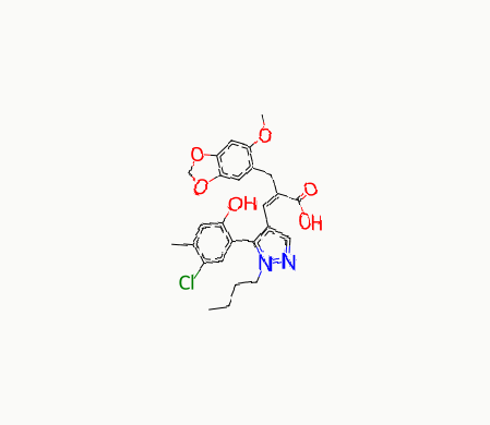 CCCCn1ncc(C=C(Cc2cc3c(cc2OC)OCO3)C(=O)O)c1-c1cc(Cl)c(C)cc1O